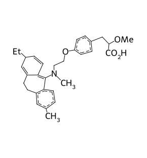 CCC1C=CC2=C(N(C)CCOc3ccc(CC(OC)C(=O)O)cc3)c3ccc(C)cc3CCC2=C1